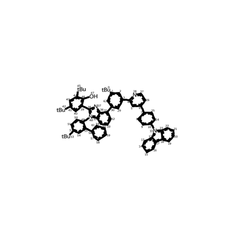 CC(C)(C)c1cc(-c2cc(-c3ccc(-n4c5ccccc5c5ccccc54)cc3)ccn2)cc(-c2cccc3c2nc(-c2cc(C(C)(C)C)cc(C(C)(C)C)c2O)n3-c2ccc(C(C)(C)C)cc2-c2ccccc2)c1